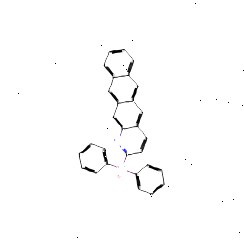 O=P(c1ccccc1)(c1ccccc1)c1ccc2cc3cc4ccccc4cc3cc2n1